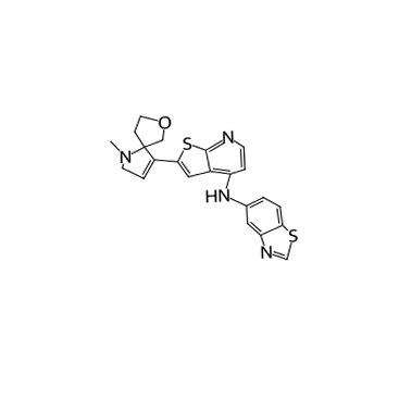 CN1CC=C(c2cc3c(Nc4ccc5scnc5c4)ccnc3s2)C12CCOC2